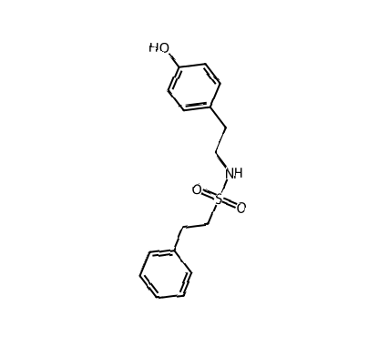 O=S(=O)(CCc1ccccc1)NCCc1ccc(O)cc1